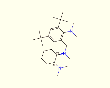 CN(C)c1c(CN(C)[C@@H]2CCCC[C@H]2N(C)C)cc(C(C)(C)C)cc1C(C)(C)C